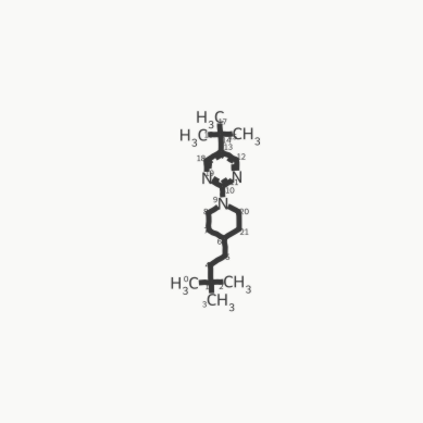 CC(C)(C)CCC1CCN(c2ncc(C(C)(C)C)cn2)CC1